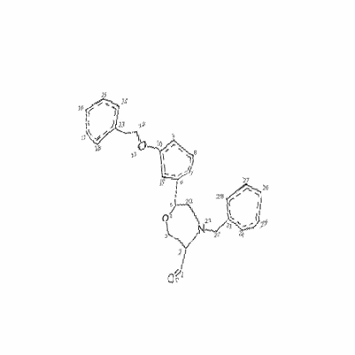 O=CC1COC(c2cccc(OCc3ccccc3)c2)CN1Cc1ccccc1